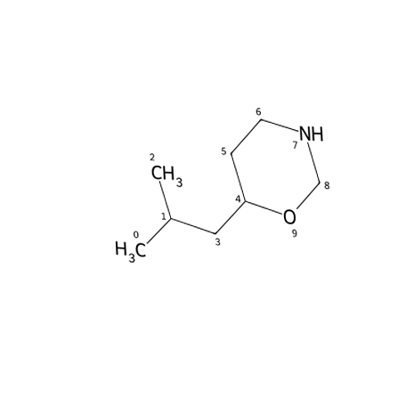 CC(C)CC1CCNCO1